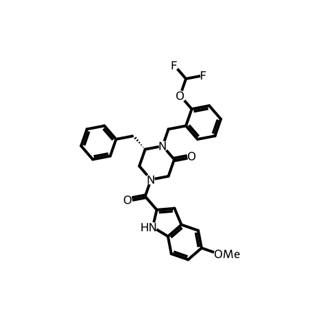 COc1ccc2[nH]c(C(=O)N3CC(=O)N(Cc4ccccc4OC(F)F)[C@@H](Cc4ccccc4)C3)cc2c1